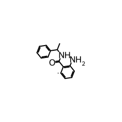 CC(NC(=O)c1[c]cccc1N)c1ccccc1